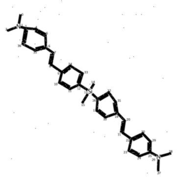 CN(C)c1ccc(/C=C/c2ccc([Si](C)(C)c3ccc(/C=C/c4ccc(N(C)C)cc4)cc3)cc2)cc1